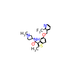 Cc1sc2ccc(OCc3cccnc3C(F)(F)F)cc2c1C(=O)NC1CCN(C)C1